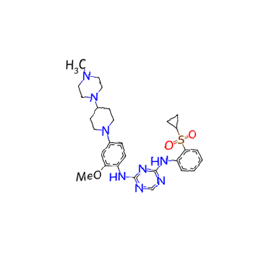 COc1cc(N2CCC(N3CCN(C)CC3)CC2)ccc1Nc1ncnc(Nc2ccccc2S(=O)(=O)C2CC2)n1